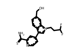 NC(=S)c1cc(-c2cn(CCC(F)F)c3cc(CO)ccc23)ccn1